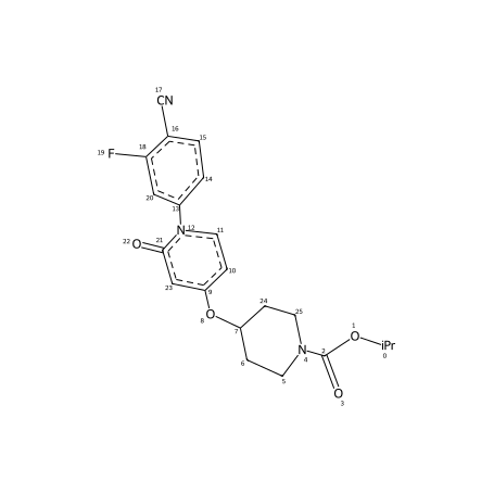 CC(C)OC(=O)N1CCC(Oc2ccn(-c3ccc(C#N)c(F)c3)c(=O)c2)CC1